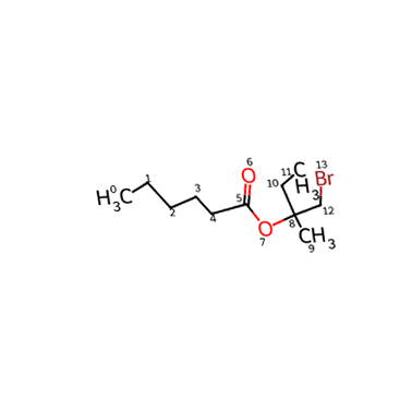 CCCCCC(=O)OC(C)(CC)CBr